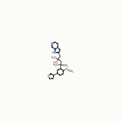 COc1ccc(-c2ccsc2)cc1C(C)(C)CC(C)(O)Cc1cc2ccncc2[nH]1